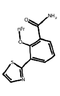 CCCOc1c(C(N)=O)cccc1-c1nccs1